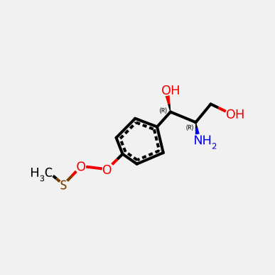 CSOOc1ccc([C@@H](O)[C@H](N)CO)cc1